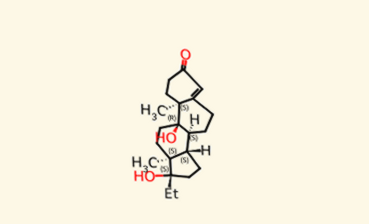 CC[C@]1(O)CC[C@H]2[C@@H]3CCC4=CC(=O)CC[C@]4(C)[C@@]3(O)CC[C@@]21C